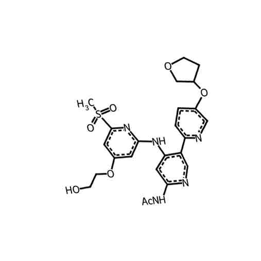 CC(=O)Nc1cc(Nc2cc(OCCO)cc(S(C)(=O)=O)n2)c(-c2ccc(OC3CCOC3)cn2)cn1